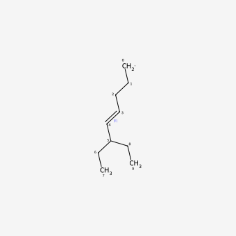 [CH2]CC/C=C/C(CC)CC